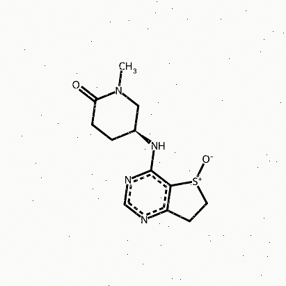 CN1C[C@@H](Nc2ncnc3c2[S+]([O-])CC3)CCC1=O